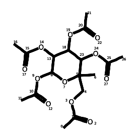 CC(=O)OCC1(C)OC(OC(C)=O)C(OC(C)=O)C(OC(C)=O)C1OC(C)=O